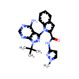 Cn1ccc(NC(=O)c2cc3ccccc3n2-c2nn(C(C)(C)C)c3ncnc(N)c23)n1